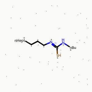 CCCCCCCCCC/N=C(\S)NCCCC